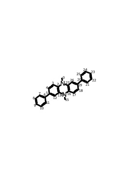 CN1c2ccc(-c3ccccc3)cc2N(C)c2ccc(-c3ccccc3)cc21